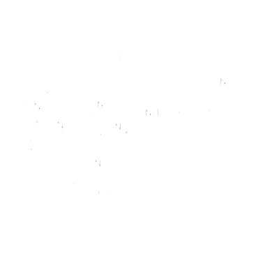 Cc1cc(NCCc2ccncc2)c2nc(-c3cccc(C)n3)c(-c3ccnc(O)n3)n2c1